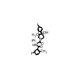 Cc1ccc(F)cc1C(=O)N[C@@H](C(=O)N1CC[C@](O)(c2ccc(I)cc2)C(C)(C)C1)C(C)C